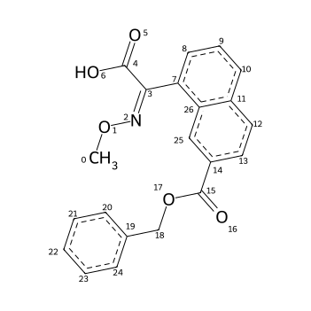 CON=C(C(=O)O)c1cccc2ccc(C(=O)OCc3ccccc3)cc12